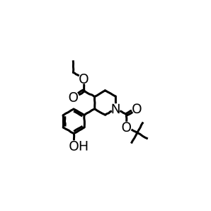 CCOC(=O)C1CCN(C(=O)OC(C)(C)C)CC1c1cccc(O)c1